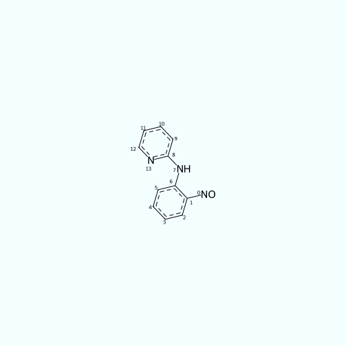 O=Nc1ccccc1Nc1ccccn1